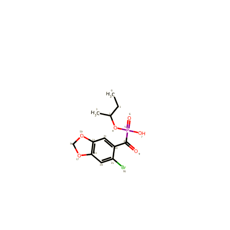 CCC(C)OP(=O)(O)C(=O)c1cc2c(cc1Br)OCO2